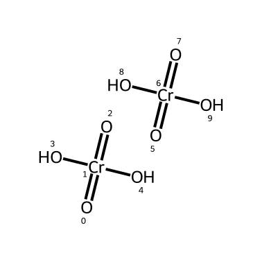 [O]=[Cr](=[O])([OH])[OH].[O]=[Cr](=[O])([OH])[OH]